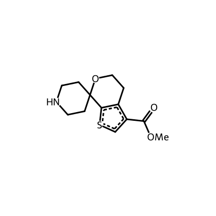 COC(=O)c1csc2c1CCOC21CCNCC1